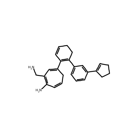 NCC1=C(N)C=CCC(C2=C(c3cccc(C4=CCCC4)c3)CCC=C2)=C1